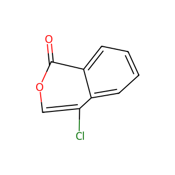 O=c1occ(Cl)c2ccccc12